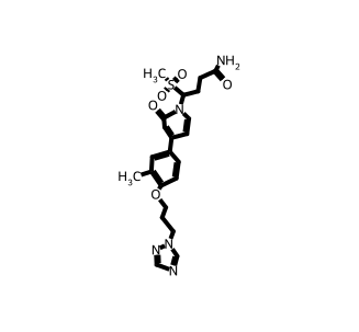 Cc1cc(-c2ccn(C(CCC(N)=O)S(C)(=O)=O)c(=O)c2)ccc1OCCCn1cncn1